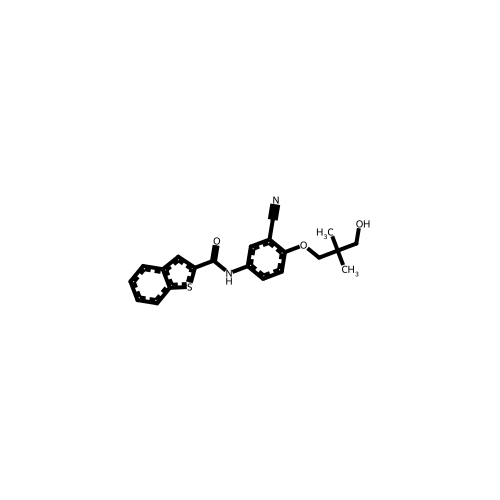 CC(C)(CO)COc1ccc(NC(=O)c2cc3ccccc3s2)cc1C#N